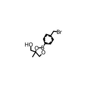 CC1(CO)COB(c2ccc(CBr)cc2)O1